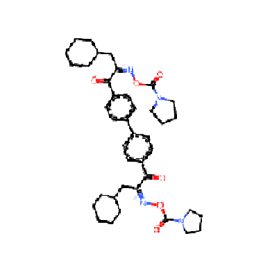 O=C(/C(CC1CCCCC1)=N\OC(=O)N1CCCC1)c1ccc(-c2ccc(C(=O)/C(CC3CCCCC3)=N\OC(=O)N3CCCC3)cc2)cc1